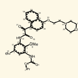 COc1c(NC(=O)OC(C)C)cc(C(C)(C)C)cc1NC(=O)C(=O)c1ccc(OCCN2CCOCC2)c2ccccc12